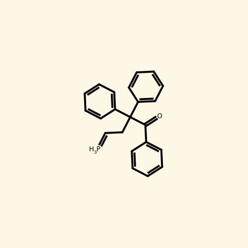 O=C(c1ccccc1)C(CC=[PH3])(c1ccccc1)c1ccccc1